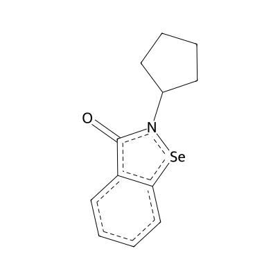 O=c1c2ccccc2[se]n1C1CCCC1